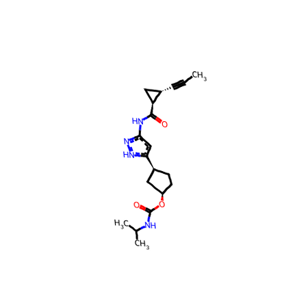 CC#C[C@H]1C[C@@H]1C(=O)Nc1cc([C@H]2CC[C@@H](OC(=O)NC(C)C)C2)[nH]n1